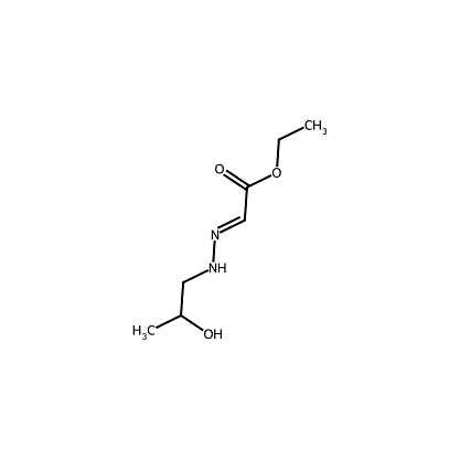 CCOC(=O)/C=N/NCC(C)O